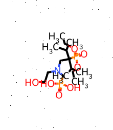 CCOP(=O)(OCC)C(CN(CCO)CP(=O)(O)O)(C(C)C)C(C)C